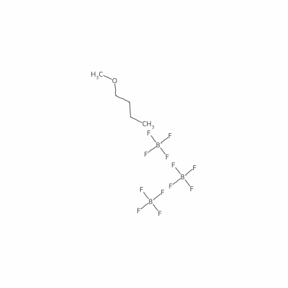 CCCCOC.F[B-](F)(F)F.F[B-](F)(F)F.F[B-](F)(F)F